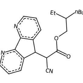 CCCCC(CC)COC(=O)C(C#N)C1c2cccnc2-c2ncccc21